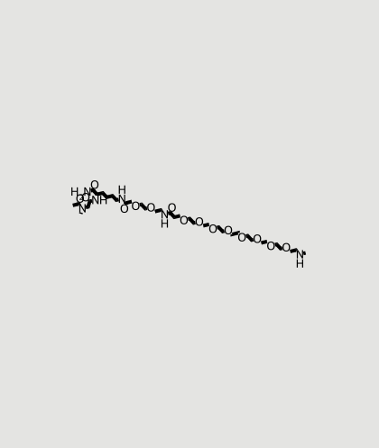 CNCCOCCOCCOCCOCCOCCOCCOCCOCCC(=O)NCCOCCOCC(=O)NCCCCC(NC(=O)CN(C)C(C)=O)C(N)=O